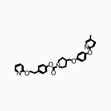 Cc1ccc(Oc2ccc(OCC3CCN(C(=O)Oc4ccc(CCOc5ccccn5)cc4)CC3)cc2)nc1